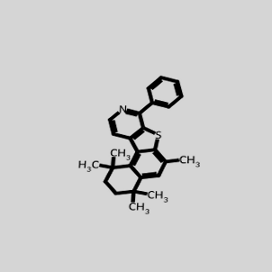 Cc1cc2c(c3c1sc1c(-c4ccccc4)nccc13)C(C)(C)CCC2(C)C